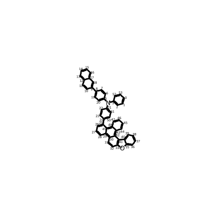 c1ccc(N(c2ccc(-c3ccc4ccccc4c3)cc2)c2ccc(-c3cccc4c5ccc6oc7ccccc7c6c5c5ccccc5c34)cc2)cc1